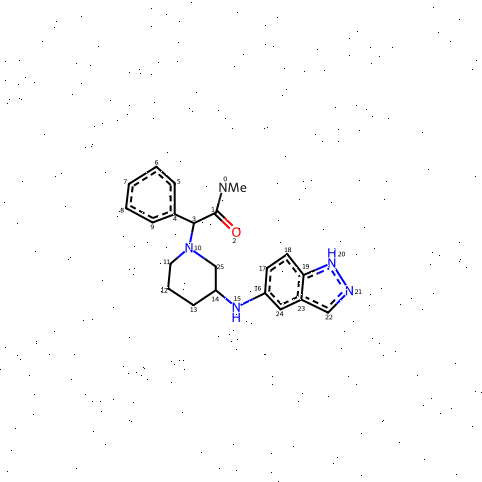 CNC(=O)C(c1ccccc1)N1CCCC(Nc2ccc3[nH]ncc3c2)C1